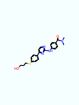 CN(C)C(=O)c1ccc(Nc2nccc(-c3ccc(SCCCO)cc3)n2)cc1